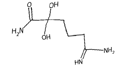 N=C(N)CCCC(O)(O)C(N)=O